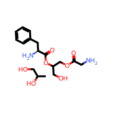 CC(O)CO.NCC(=O)OCC(CO)OC(=O)[C@@H](N)Cc1ccccc1